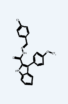 O=C(NN=Cc1ccc(Cl)cc1)c1[nH]c2ccccc2c1-c1ccc(OC(F)(F)F)cc1